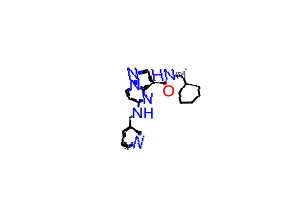 C[C@@H](NC(=O)c1cnn2ccc(NCc3cccnc3)nc12)C1CCCCC1